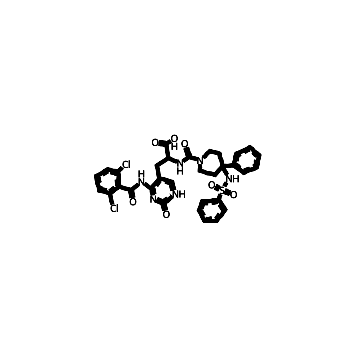 O=C(Nc1nc(=O)[nH]cc1CC(NC(=O)N1CCC(NS(=O)(=O)c2ccccc2)(c2ccccc2)CC1)C(=O)O)c1c(Cl)cccc1Cl